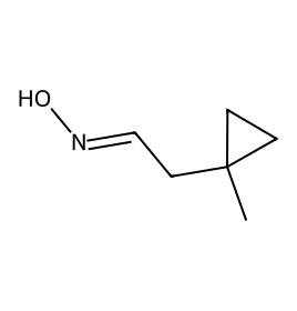 CC1(CC=NO)CC1